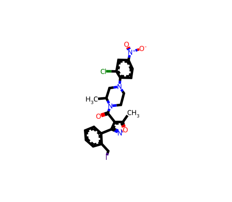 Cc1onc(-c2ccccc2CI)c1C(=O)N1CCN(c2ccc([N+](=O)[O-])cc2Cl)CC1C